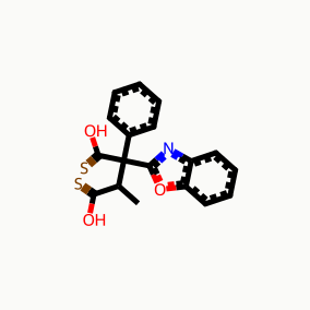 CC(C(O)=S)C(C(O)=S)(c1ccccc1)c1nc2ccccc2o1